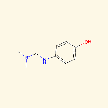 CN(C)CNc1ccc(O)cc1